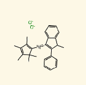 CC1=C(C)C(C)(C)[C]([Hf+2][C]2=C(c3ccccc3)C(C)c3ccccc32)=C1C.[Cl-].[Cl-]